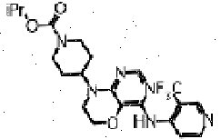 CC(C)OC(=O)N1CCC(N2CCOc3c(Nc4ccncc4C(F)(F)F)ncnc32)CC1